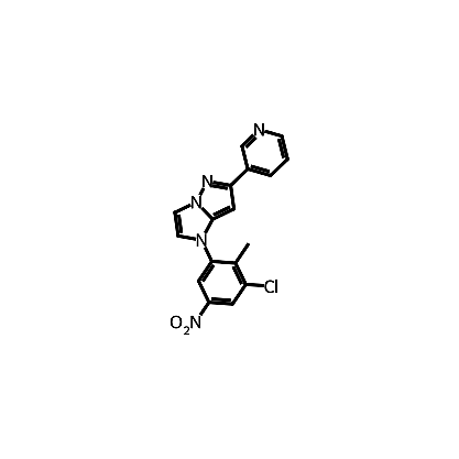 Cc1c(Cl)cc([N+](=O)[O-])cc1-n1ccn2nc(-c3cccnc3)cc12